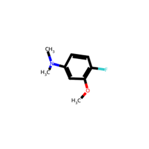 COc1[c]c(N(C)C)ccc1F